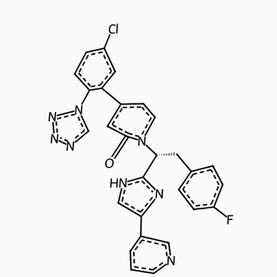 O=c1cc(-c2cc(Cl)ccc2-n2cnnn2)ccn1[C@H](Cc1ccc(F)cc1)c1nc(-c2cccnc2)c[nH]1